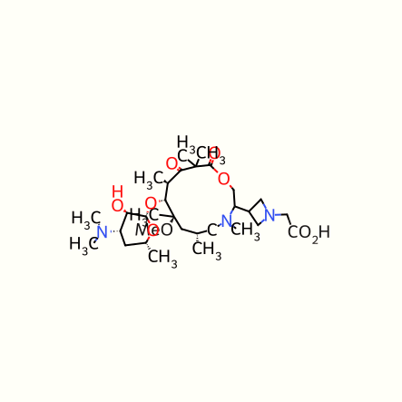 CO[C@]1(C)C[C@@H](C)CN(C)C(C2CN(CC(=O)O)C2)COC(=O)C(C)(C)C(=O)[C@H](C)[C@H]1O[C@@H]1O[C@H](C)C[C@H](N(C)C)[C@H]1O